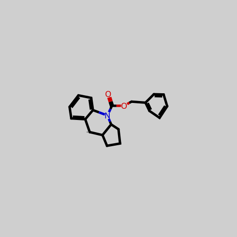 O=C(OCc1ccccc1)N1c2ccccc2[CH]C2CCCC21